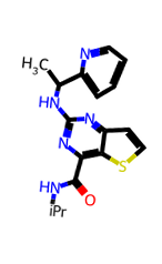 CC(C)NC(=O)c1nc(NC(C)c2ccccn2)nc2ccsc12